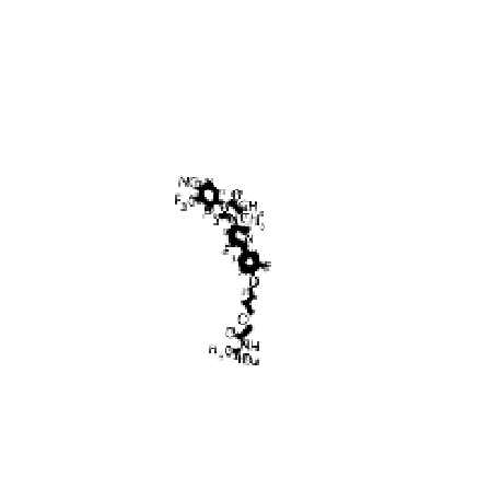 CC(NC(=O)COCCCCOc1ccc(-c2ncc(N3C(=S)N(c4ccc(C#N)c(C(F)(F)F)c4F)C(=O)C3(C)C)cc2F)cc1F)C(C)(C)C